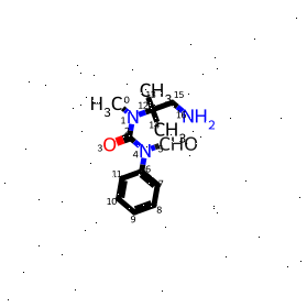 CN(C(=O)N([C]=O)c1ccccc1)C(C)(C)CN